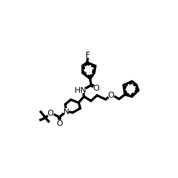 CC(C)(C)OC(=O)N1CCC(C(CCCOCc2ccccc2)NC(=O)c2ccc(F)cc2)CC1